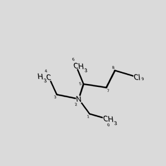 CCN(CC)C(C)CCCl